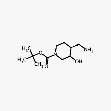 CC(C)(C)OC(=O)N1CC[C@@H](CN)C(O)C1